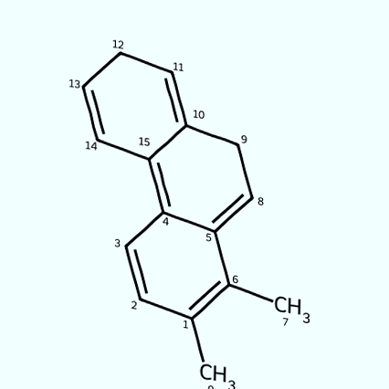 Cc1ccc2c(c1C)=CCC1=CCC=CC=21